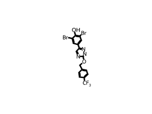 Oc1c(Br)cc(-c2cnc(OCc3ccc(C(F)(F)F)cc3)nn2)cc1Br